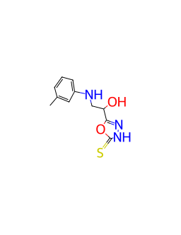 Cc1cccc(NCC(O)c2n[nH]c(=S)o2)c1